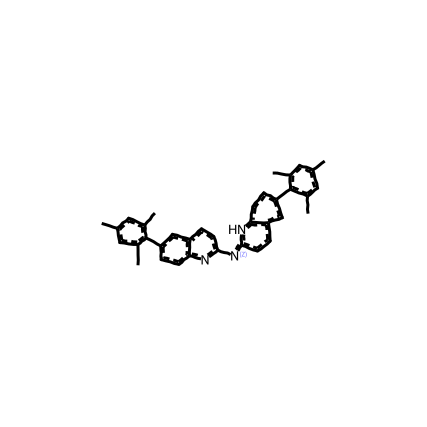 Cc1cc(C)c(-c2ccc3nc(/N=c4/ccc5cc(-c6c(C)cc(C)cc6C)ccc5[nH]4)ccc3c2)c(C)c1